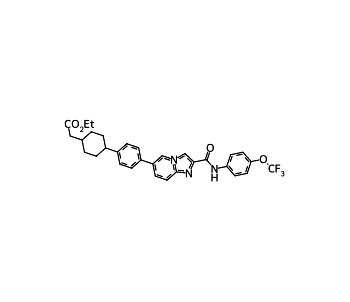 CCOC(=O)CC1CCC(c2ccc(-c3ccc4nc(C(=O)Nc5ccc(OC(F)(F)F)cc5)cn4c3)cc2)CC1